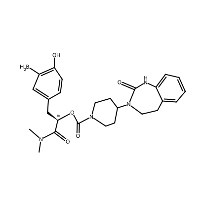 Bc1cc(C[C@@H](OC(=O)N2CCC(N3CCc4ccccc4NC3=O)CC2)C(=O)N(C)C)ccc1O